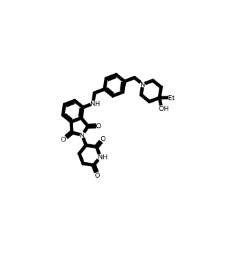 CCC1(O)CCN(Cc2ccc(CNc3cccc4c3C(=O)N(C3CCC(=O)NC3=O)C4=O)cc2)CC1